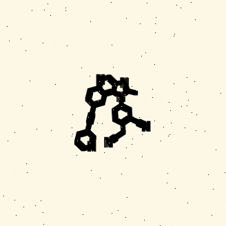 Cc1nc2cnc3ccc(C#Cc4cccnc4)cc3c2n1-c1ccc(CC#N)c(C#N)c1